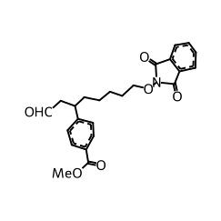 COC(=O)c1ccc(C(CC=O)CCCCCON2C(=O)c3ccccc3C2=O)cc1